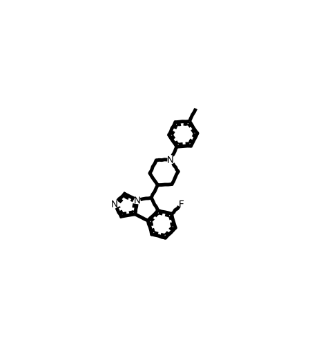 Cc1ccc(N2CCC(C3c4c(F)cccc4-c4cncn43)CC2)cc1